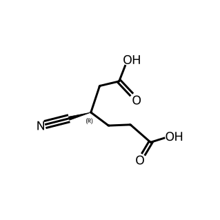 N#C[C@H](CCC(=O)O)CC(=O)O